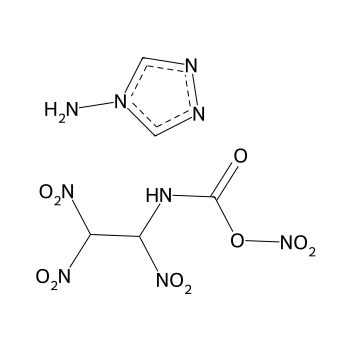 Nn1cnnc1.O=C(NC(C([N+](=O)[O-])[N+](=O)[O-])[N+](=O)[O-])O[N+](=O)[O-]